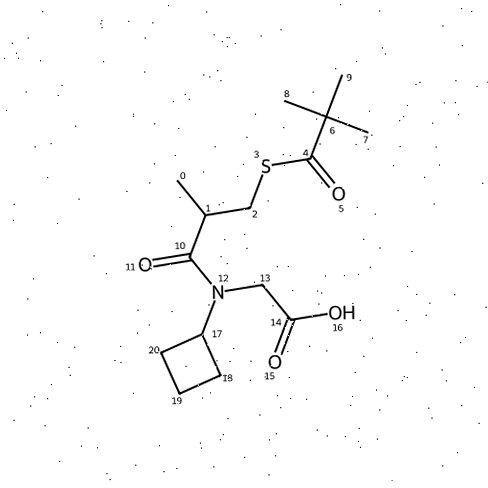 CC(CSC(=O)C(C)(C)C)C(=O)N(CC(=O)O)C1CCC1